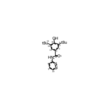 CC(C)(C)c1cc(C(=O)Nc2cccnn2)cc(C(C)(C)C)c1O